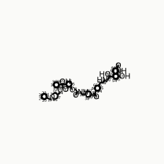 O=C(COc1cccc([C@](O)(C(=O)OCC2CCN(Cc3ccccc3)CC2)c2ccccc2)c1)NCC1CCN(C(=O)c2ccc(CCNC[C@H](O)c3ccc(O)c4[nH]c(=O)ccc34)cc2)CC1